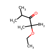 BC(C)(OCC)C(=O)C(C)C